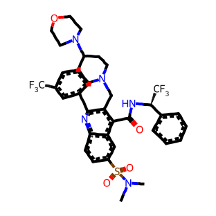 CN(C)S(=O)(=O)c1ccc2nc(-c3cccc(C(F)(F)F)c3)c(CN3CCC(N4CCOCC4)CC3)c(C(=O)N[C@H](c3ccccc3)C(F)(F)F)c2c1